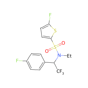 CCN(C(c1ccc(F)cc1)C(F)(F)F)S(=O)(=O)c1ccc(F)s1